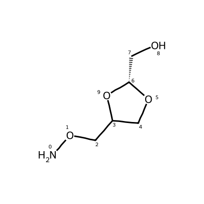 NOCC1CO[C@@H](CO)O1